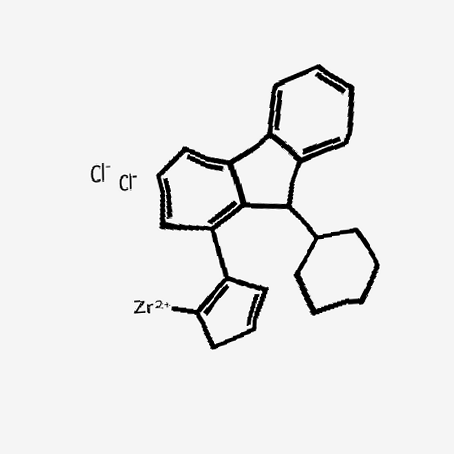 [Cl-].[Cl-].[Zr+2][C]1=C(c2cccc3c2C(C2CCCCC2)c2ccccc2-3)C=CC1